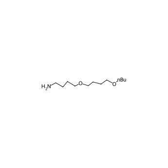 CCCCOCCCCOCCCCN